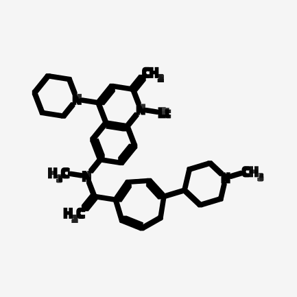 C=C(C1=CC=C(C2CCN(C)CC2)CC=C1)N(C)c1ccc2c(c1)C(N1CCCCC1)=CC(=C)N2CC